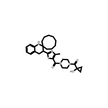 Cc1nc(C2Cc3ccccc3NC23CCCCCCCC3)sc1C(=O)N1CCN(C(=O)C2(O)CC2)CC1